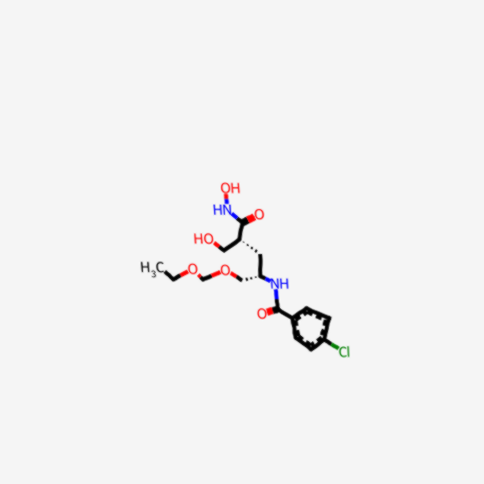 CCOCOC[C@H](C[C@H](CO)C(=O)NO)NC(=O)c1ccc(Cl)cc1